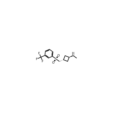 CN[C@H]1C[C@H](CS(=O)(=O)c2cccc(C(F)(F)F)c2)C1